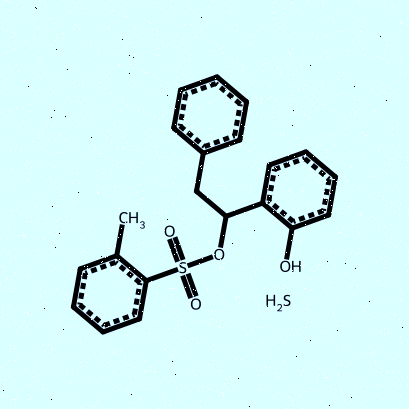 Cc1ccccc1S(=O)(=O)OC(Cc1ccccc1)c1ccccc1O.S